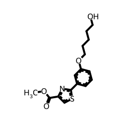 COC(=O)c1csc(-c2cccc(OCCCCCO)c2)n1